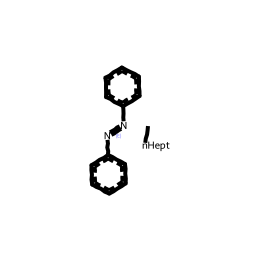 CCCCCCCC.c1ccc(/N=N/c2ccccc2)cc1